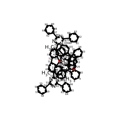 Cc1ccc(-n2c3ccccc3c3ccc4c5c(n(C6(n7c8ccccc8c8ccc9c%10ccccc%10n(-c%10ccc(C)cc%10C)c9c87)c7cc(-c8nc(-c9ccccc9)nc(-c9ccccc9)n8)ccc7-c7ccc(-c8nc(-c9ccccc9)nc(-c9ccccc9)n8)cc76)c4c32)CCC=C5)c(C)c1